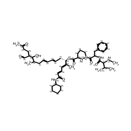 CNC(C(=O)NC(Cc1ccccc1)C(=O)N1CCCC(C(=O)O[C@@H](C/C=C/C=C/CC(C)C(O)C(C=O)CCC(C)=O)/C(C)=C/C=C/C(=O)NC2CCCCC2)N1)C(C)C